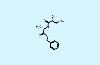 C[C@H](OC(=O)[C@H](C)OC(C)(C)C)C(=O)OCc1ccccc1